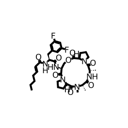 CCCC/C=C/C(=O)N[C@@H](Cc1cc(F)cc(F)c1)C(=O)N[C@H]1COC(=O)[C@@H]2CCCN2C(=O)[C@H](C)NC(=O)[C@H](C)N(C)C(=O)[C@@H]2CCCN2C1=O